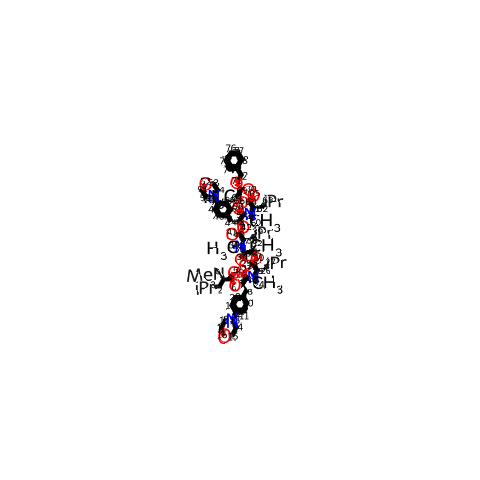 CN[C@@H](CC(C)C)C(=O)O[C@H](Cc1ccc(N2CCOCC2)cc1)C(=O)N(C)[C@@H](CC(C)C)C(=O)O[C@H](C)C(=O)N(C)[C@@H](CC(C)C)C(=O)O[C@H](Cc1ccc(N2CCOCC2)cc1)C(=O)N(C)[C@H](CC(C)C)C(=O)O[C@H](C)C(=O)OCc1ccccc1